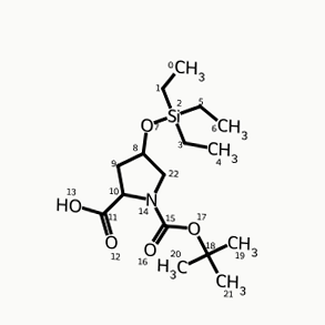 CC[Si](CC)(CC)OC1CC(C(=O)O)N(C(=O)OC(C)(C)C)C1